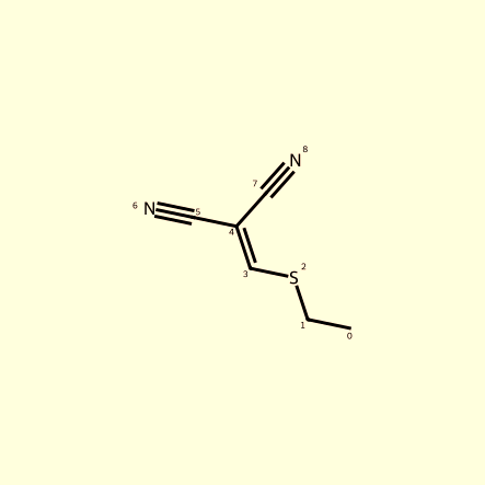 CCSC=C(C#N)C#N